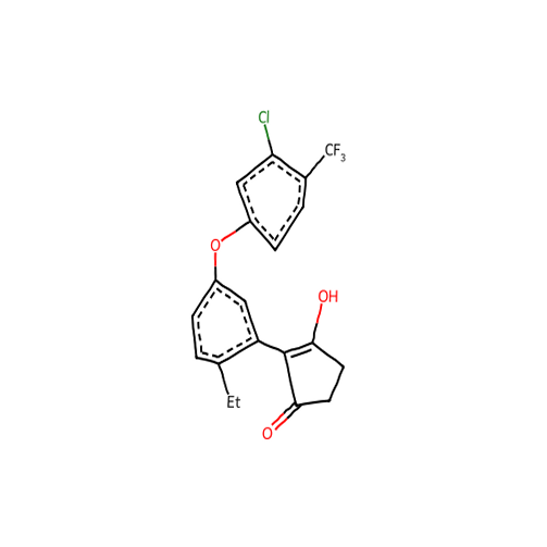 CCc1ccc(Oc2ccc(C(F)(F)F)c(Cl)c2)cc1C1=C(O)CCC1=O